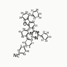 N#Cc1ccc(-c2ccc(-c3nc(-c4ccccc4)nc(-c4ccc5c(c4)oc4cccc(-c6ccccc6)c45)n3)c(-c3ccccc3)c2)cc1